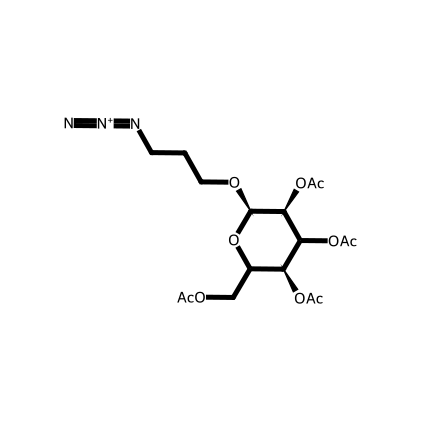 CC(=O)OCC1O[C@@H](OCCCN=[N+]=[N-])[C@@H](OC(C)=O)C(OC(C)=O)[C@H]1OC(C)=O